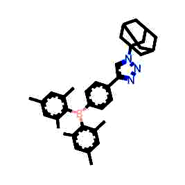 Cc1cc(C)c(B(c2ccc(-c3cn(C45CC6CC(CC(C6)C4)C5)nn3)cc2)c2c(C)cc(C)cc2C)c(C)c1